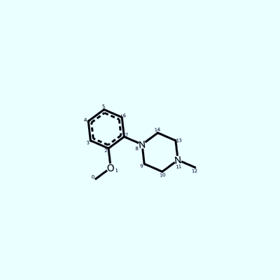 COc1ccc[c]c1N1CCN(C)CC1